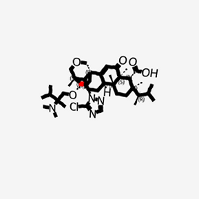 CC(C)[C@@H](C)[C@@]1(C)CC[C@]2(C)[C@H]3CC[C@@H]4[C@@]5(COC[C@@]4(C)[C@@H](OCC(C)(C(C)C)N(C)C)[C@H](n4ncnc4Cl)C5)C3=CC(=O)[C@@]2(C)[C@@H]1C(=O)O